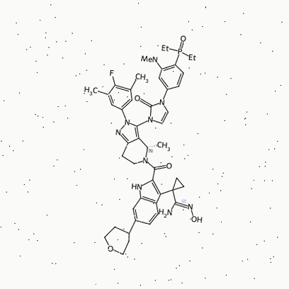 CCP(=O)(CC)c1ccc(-n2ccn(-c3c4c(nn3-c3cc(C)c(F)c(C)c3)CCN(C(=O)c3[nH]c5cc(C6CCOCC6)ccc5c3C3(/C(N)=N/O)CC3)[C@H]4C)c2=O)cc1NC